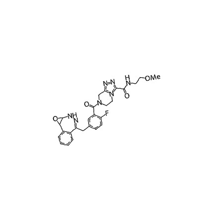 COCCNC(=O)c1nnc2n1CCN(C(=O)c1cc(CC3=NNC4OC4c4ccccc43)ccc1F)C2